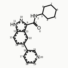 O=C(NC1CCCCC1)c1n[nH]c2ccc(-c3cccnc3)cc12